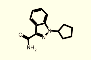 NC(=O)c1nn(C2CCCC2)c2ccccc12